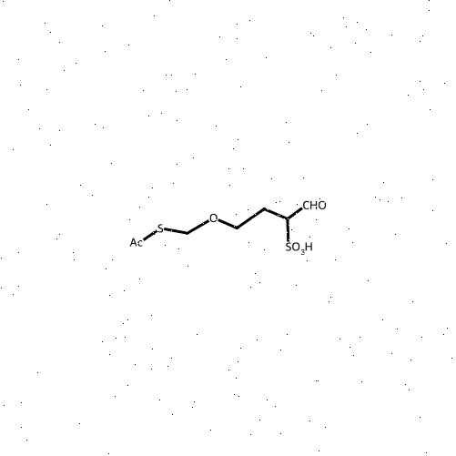 CC(=O)SCOCCC(C=O)S(=O)(=O)O